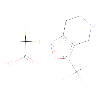 FC(F)(F)c1onc2c1CNCC2.O=C(O)C(F)(F)F